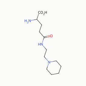 NC(CCC(=O)NCCN1CCCCC1)C(=O)O